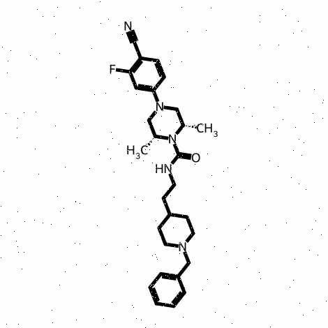 C[C@@H]1CN(c2ccc(C#N)c(F)c2)C[C@H](C)N1C(=O)NCCC1CCN(Cc2ccccc2)CC1